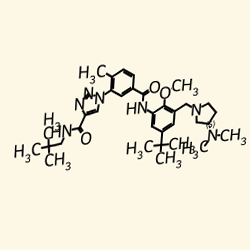 COc1c(CN2CC[C@H](N(C)C)C2)cc(C(C)(C)C)cc1NC(=O)c1ccc(C)c(-n2cc(C(=O)NCC(C)(C)C)nn2)c1